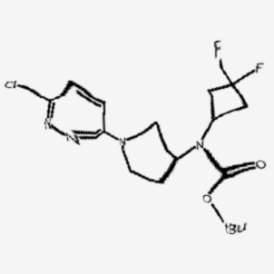 CC(C)(C)OC(=O)N(C1CCN(c2ccc(Cl)nn2)C1)C1CC(F)(F)C1